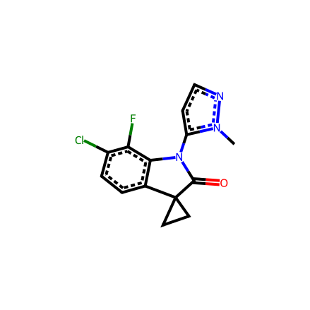 Cn1nccc1N1C(=O)C2(CC2)c2ccc(Cl)c(F)c21